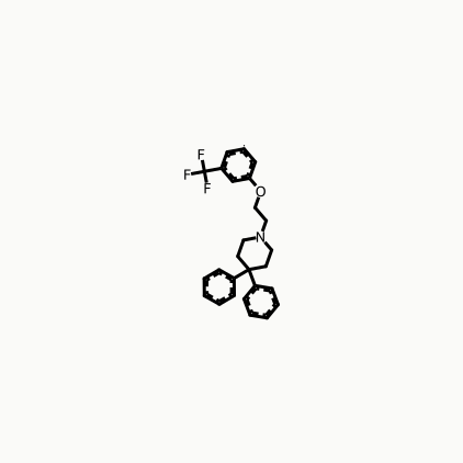 FC(F)(F)c1c[c]cc(OCCN2CCC(c3ccccc3)(c3ccccc3)CC2)c1